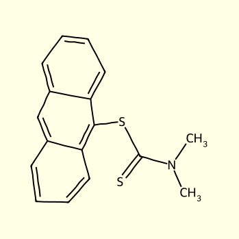 CN(C)C(=S)Sc1c2ccccc2cc2ccccc12